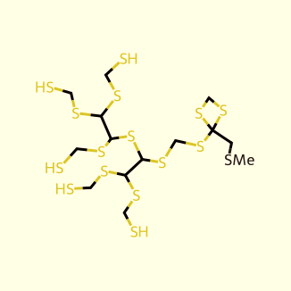 CSCC1(SCSC(SC(SCS)C(SCS)SCS)C(SCS)SCS)SCS1